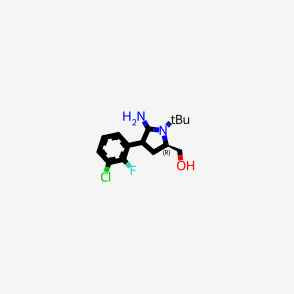 CC(C)(C)N1C(N)C(c2cccc(Cl)c2F)C[C@@H]1CO